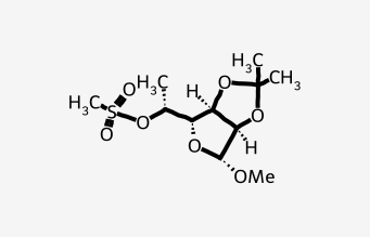 CO[C@@H]1O[C@H]([C@@H](C)OS(C)(=O)=O)[C@H]2OC(C)(C)O[C@@H]12